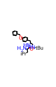 CC(C)CC(N)C(=O)NC(CNC(C)(C)C)Cc1ccc(OCc2ccccc2)cc1